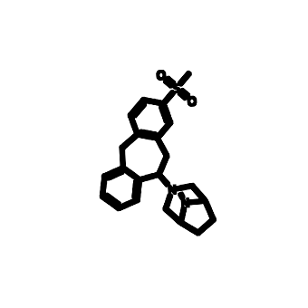 CN1C2CCC1CN(C1Cc3cc(S(C)(=O)=O)ccc3Cc3ccccc31)C2